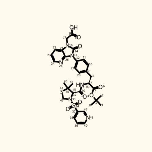 CC(C)(C)OC(=O)[C@H](Cc1ccc(-n2c(=O)n(CC(=O)O)c3cccnc32)cc1)NC(=O)[C@H]1N(S(=O)(=O)c2cccnc2)CSC1(C)C